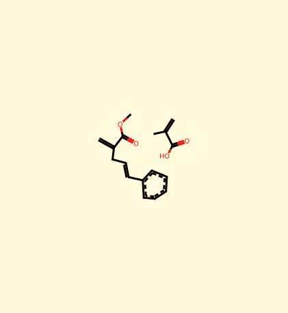 C=C(C)C(=O)O.C=C(CC=Cc1ccccc1)C(=O)OC